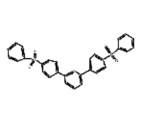 O=S(=O)(c1ccccc1)c1ccc(-c2cccc(-c3ccc(S(=O)(=O)c4ccccc4)cc3)n2)cc1